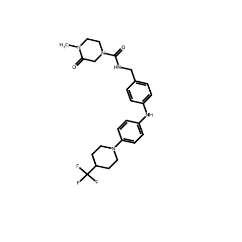 CN1CCN(C(=O)NCc2ccc(Nc3ccc(N4CCC(C(F)(F)F)CC4)cc3)cc2)CC1=O